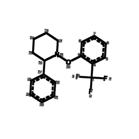 FC(F)(F)c1ccccc1ON1CCCCC1c1c[c]ccc1